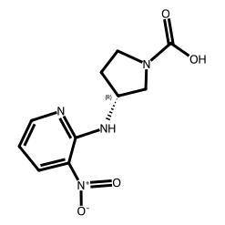 O=C(O)N1CC[C@@H](Nc2ncccc2[N+](=O)[O-])C1